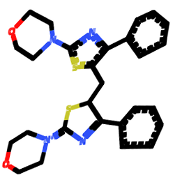 c1ccc(C2=NC(=[N+]3CCOCC3)SC2Cc2sc(N3CCOCC3)nc2-c2ccccc2)cc1